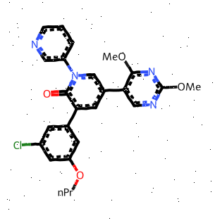 CCCOc1cc(Cl)cc(-c2cc(-c3cnc(OC)nc3OC)cn(-c3cccnc3)c2=O)c1